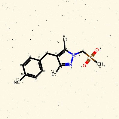 CCc1nn(CS(C)(=O)=O)c(CC)c1Cc1ccc(C#N)cc1